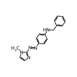 Cn1ccnc1/N=N/c1ccc(NCc2ccccc2)cc1